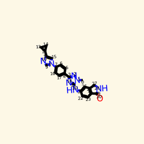 Cn1nc(-c2ccc(-n3cnc(C4CC4)c3)cc2)nc1Nc1ccc2c(c1)CNC2=O